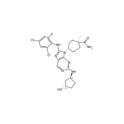 C[C@]1(C(N)=O)CC[C@H](n2c(Nc3c(F)cc(Cl)cc3Cl)nc3cnc(N[C@H]4CC[C@H](O)C4)nc32)CC1